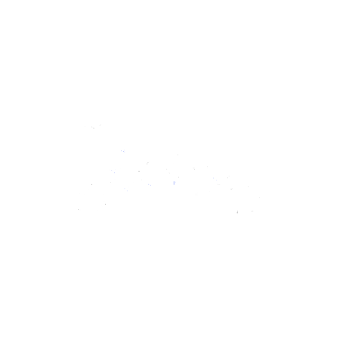 CC(=O)NCCNc1nc(-c2ccccc2)nc2c1CC(C(=O)NC1CCN(Cc3ccccc3)CC1)N2